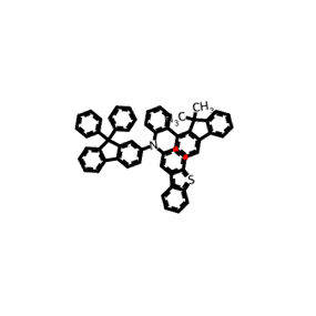 CC1(C)c2ccccc2-c2cccc(-c3ccccc3N(c3ccc4c(c3)C(c3ccccc3)(c3ccccc3)c3ccccc3-4)c3ccc4sc5ccccc5c4c3)c21